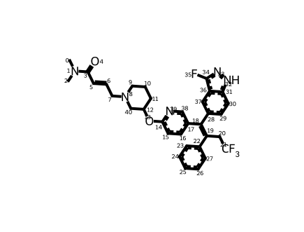 CN(C)C(=O)C=CCN1CCCC(Oc2ccc(/C(=C(/CC(F)(F)F)c3ccccc3)c3ccc4[nH]nc(F)c4c3)cn2)C1